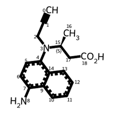 C#CCN(c1ccc(N)c2ccccc12)[C@@H](C)CC(=O)O